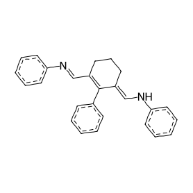 C(=N\c1ccccc1)/C1=C(c2ccccc2)C(=C/Nc2ccccc2)/CCC1